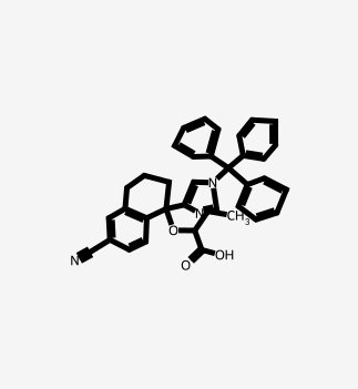 CCC(OC1(c2cn(C(c3ccccc3)(c3ccccc3)c3ccccc3)cn2)CCCc2cc(C#N)ccc21)C(=O)O